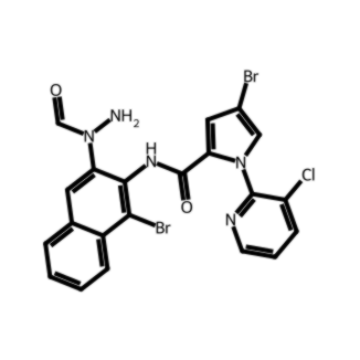 NN(C=O)c1cc2ccccc2c(Br)c1NC(=O)c1cc(Br)cn1-c1ncccc1Cl